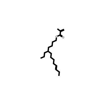 C=C(C)C(=O)OCCCCC(CCC)CCCCC=CCC